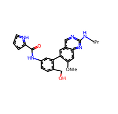 COc1cc2nc(NC(C)C)ncc2cc1-c1cc(NC(=O)c2ccc[nH]2)ccc1CO